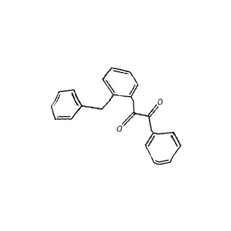 O=C(C(=O)c1ccccc1Cc1ccccc1)c1ccccc1